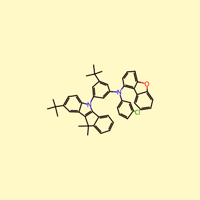 CC(C)(C)c1cc(N(c2cccc(Cl)c2)c2cccc3oc4ccccc4c23)cc(-n2c3c(c4cc(C(C)(C)C)ccc42)C(C)(C)c2ccccc2-3)c1